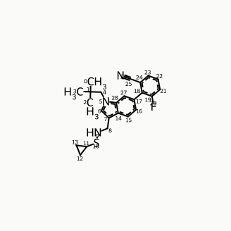 CC(C)(C)Cn1cc(CNSC2CC2)c2ccc(-c3c(F)cccc3C#N)cc21